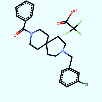 O=C(O)C(F)(F)F.O=C(c1ccccc1)N1CCC2(CCN(Cc3cccc(Cl)c3)CC2)CC1